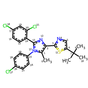 Cc1c(-c2ncc(C(C)(C)C)s2)nc(-c2ccc(Cl)cc2Cl)n1-c1ccc(Cl)cc1